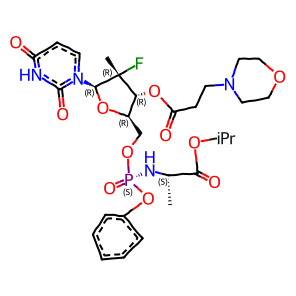 CC(C)OC(=O)[C@H](C)N[P@](=O)(OC[C@H]1O[C@@H](n2ccc(=O)[nH]c2=O)[C@](C)(F)[C@@H]1OC(=O)CCN1CCOCC1)Oc1ccccc1